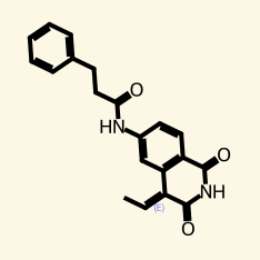 C/C=C1/C(=O)NC(=O)c2ccc(NC(=O)CCc3ccccc3)cc21